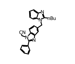 CCCCc1nc2ccccc2n1Cc1ccc2c(c1)nc(-c1ccccc1)n2CC#N